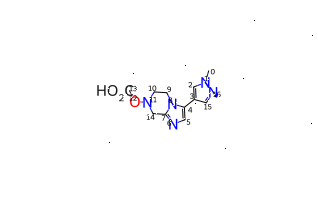 Cn1cc(-c2cnc3n2CCN(OC(=O)O)C3)cn1